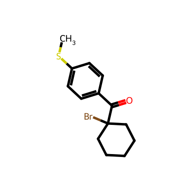 CSc1ccc(C(=O)C2(Br)CCCCC2)cc1